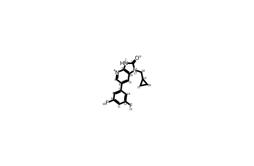 O=c1[nH]c2ncc(-c3cc(F)cc(F)c3)cc2n1CC1CC1